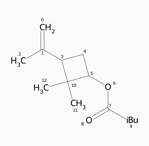 C=C(C)C1CC(OC(=O)C(C)CC)C1(C)C